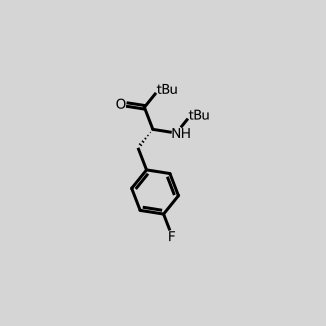 CC(C)(C)N[C@H](Cc1ccc(F)cc1)C(=O)C(C)(C)C